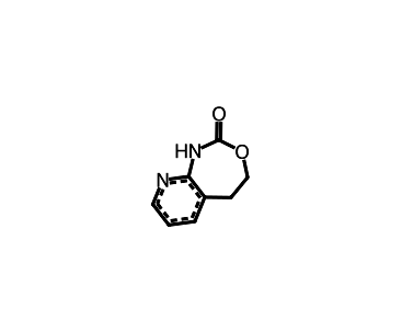 O=C1Nc2ncccc2CCO1